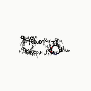 COc1cc2cc(c1Cl)N(C)C(=O)C[C@H](OC(=O)[C@H](C)N(C)C(=O)CCSSCCC(=O)NCc1ccc(C[C@@H](N)C(=O)N[C@H]3CSSC[C@@H](C(=O)N[C@H](C(=O)O)[C@@H](C)O)NC(=O)[C@H]([C@@H](C)O)NC(=O)CNC(=O)[C@@H](Cc4c[nH]c5ccccc45)NC(=O)[C@H](Cc4ccc(O)cc4)NC3=O)cc1)[C@](C)(O)C[C@H](C)[C@@H]1C[C@@](O)(NC(=O)O1)[C@H](OC)/C=C/C=C(\C)C2